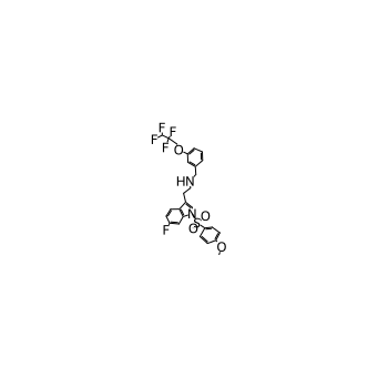 COc1ccc(S(=O)(=O)n2cc(CCNCc3cccc(OCC(F)(F)C(F)F)c3)c3ccc(F)cc32)cc1